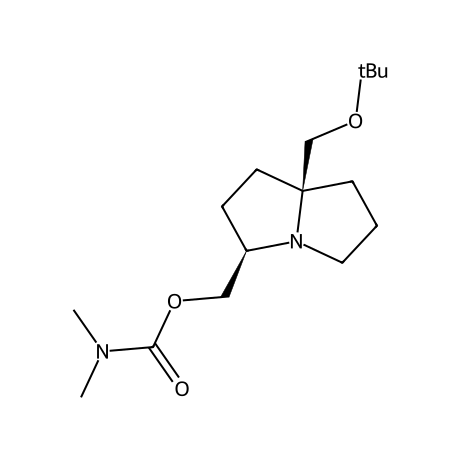 CN(C)C(=O)OC[C@H]1CC[C@]2(COC(C)(C)C)CCCN12